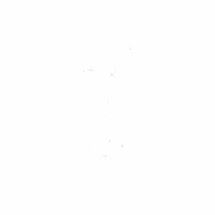 CCCCCCCCCCCCC(O)CN(CCCCSSCCN1CCN(CCSSCCCCN(CC(O)CCCCCCCCCCCC)CC(O)CCCCCCCCCCCC)CC1)CC(O)CCCCCCCCCCCC